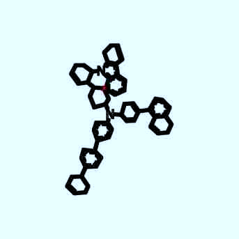 C1=Cc2c(cccc2C2=CCC(N(c3ccc(-c4ccc(C5CC=CCC5)cc4)cc3)C3CCC(C4C=CCCC4n4c5c(c6ccccc64)C=CCC5)CC3)C=C2)CC1